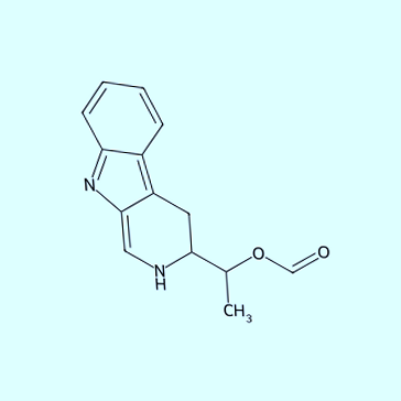 CC(OC=O)C1CC2=c3ccccc3=NC2=CN1